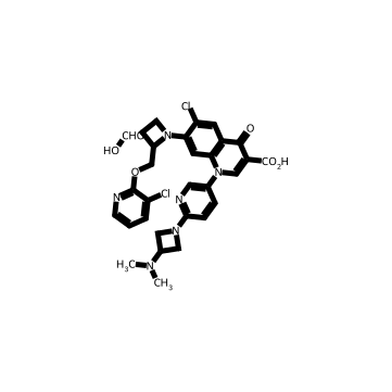 CN(C)C1CN(c2ccc(-n3cc(C(=O)O)c(=O)c4cc(Cl)c(N5CCC5COc5ncccc5Cl)cc43)cn2)C1.O=CO